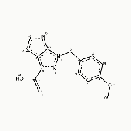 COc1ccc(Cn2nc(C(=O)O)c3scnc32)cc1